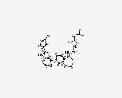 CC(C)OC1CN(C(=O)NC2CCCCc3cc(-c4ncnc5[nH]c(-c6cnn(C)c6)cc45)ccc32)C1